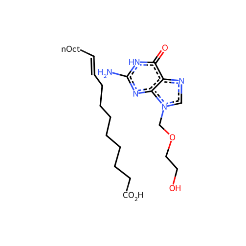 CCCCCCCCC=CCCCCCCCC(=O)O.Nc1nc2c(ncn2COCCO)c(=O)[nH]1